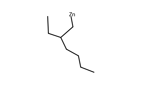 CCCCC(CC)[CH2][Zn]